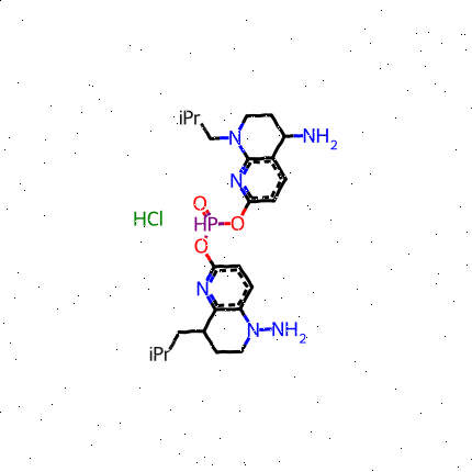 CC(C)CC1CCN(N)c2ccc(O[PH](=O)Oc3ccc4c(n3)N(CC(C)C)CCC4N)nc21.Cl